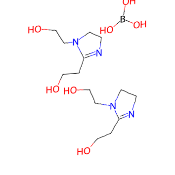 OB(O)O.OCCC1=NCCN1CCO.OCCC1=NCCN1CCO